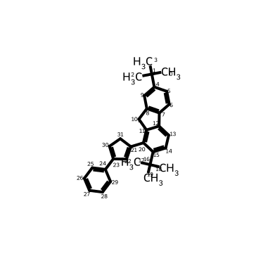 CC(C)(C)c1ccc2c(c1)[CH]c1c-2ccc(C(C)(C)C)c1C1=CC(c2ccccc2)=CC1